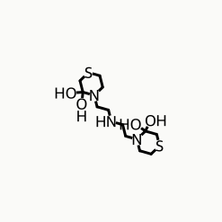 OC1(O)CSCCN1CCNCCN1CCSCC1(O)O